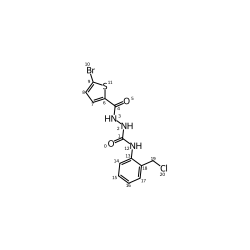 O=C(NNC(=O)c1ccc(Br)s1)Nc1ccccc1CCl